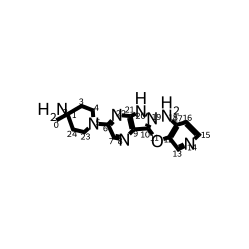 CC1(N)CCN(c2cnc3c(Oc4cnccc4N)n[nH]c3n2)CC1